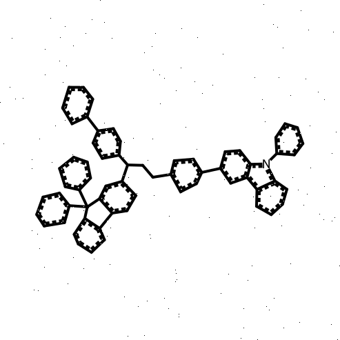 c1ccc(-c2ccc(C(CCc3ccc(-c4ccc5c(c4)c4ccccc4n5-c4ccccc4)cc3)c3ccc4c(c3)C(c3ccccc3)(c3ccccc3)c3ccccc3-4)cc2)cc1